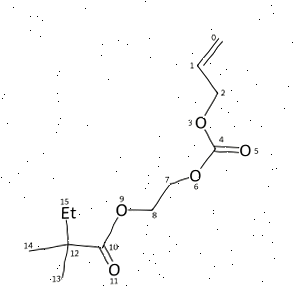 C=CCOC(=O)OCCOC(=O)C(C)(C)CC